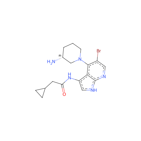 N[C@@H]1CCCN(c2c(Br)cnc3[nH]cc(NC(=O)CC4CC4)c23)C1